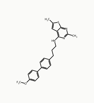 Cc1nc(NCCCc2ccc(-c3ccc(OC(F)(F)F)cc3)cc2)c2cc(C)sc2n1